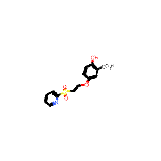 O=C(O)c1cc(OCCS(=O)(=O)c2ccccn2)ccc1O